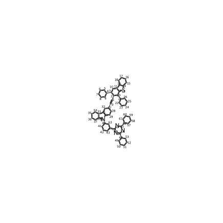 C(#Cc1c(-c2ccccc2)cc2c(sc3ccccc32)c1-c1ccccc1)c1ccc2c(c1)c1ccccc1n2-c1cccc(-c2nc(-c3ccccc3)nc(-c3ccccc3)n2)c1